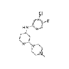 CN1CCN(C2CC(Nc3ccc(F)c(Cl)c3)CC[N]2)CC1